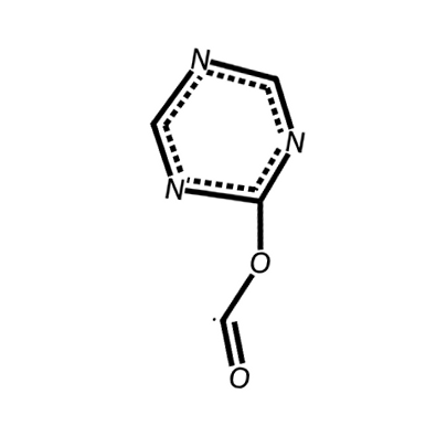 O=[C]Oc1ncncn1